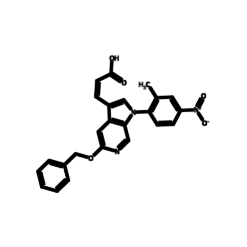 Cc1cc([N+](=O)[O-])ccc1-n1cc(/C=C\C(=O)O)c2cc(OCc3ccccc3)ncc21